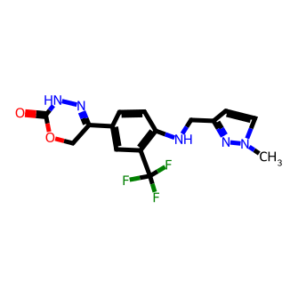 Cn1ccc(CNc2ccc(C3=NNC(=O)OC3)cc2C(F)(F)F)n1